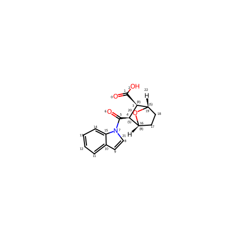 O=C(O)[C@@H]1[C@H](C(=O)n2ccc3ccccc32)[C@H]2CC[C@@H]1O2